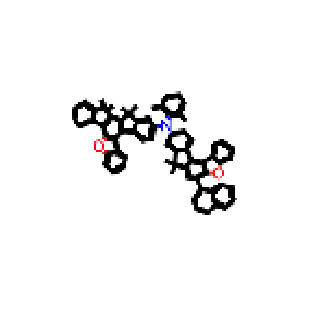 Cc1cccc(C)c1N(c1ccc2c(c1)C(C)(C)c1cc(-c3cccc4ccccc34)c3oc4ccccc4c3c1-2)c1ccc2c(c1)C(C)(C)c1c3c(c4oc5ccccc5c4c1-2)-c1ccccc1C3(C)C